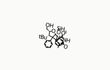 Cc1cn([C@]2(O[SiH3])O[C@H](CO)[C@@H](C(C)(C)C)C2(c2ccccc2)c2ccccc2)c(=O)[nH]c1=O